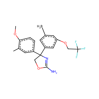 Bc1cc(OCC(F)(F)F)cc(C2(c3ccc(OC)c(C)c3)COC(N)=N2)c1